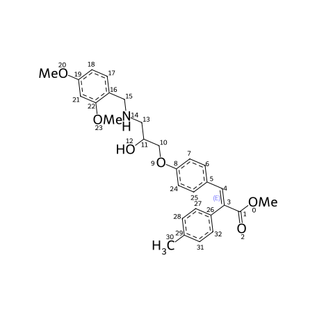 COC(=O)/C(=C/c1ccc(OCC(O)CNCc2ccc(OC)cc2OC)cc1)c1ccc(C)cc1